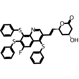 O=C1C[C@H](O)C[C@@H](/C=C/c2cnc3c(Sc4ccccc4)c(Sc4ccccc4)c(F)cc3c2Sc2ccccc2)O1